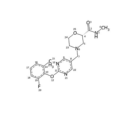 CNC(=O)[C@@H]1CN(Cc2cnc(Oc3c(C)cccc3F)nc2)CCO1